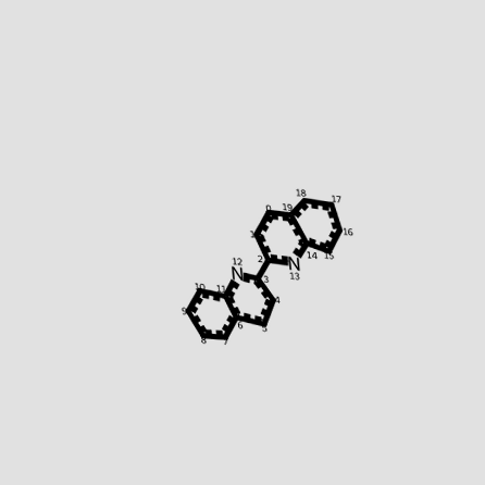 [c]1cc(-c2ccc3ccccc3n2)nc2ccccc12